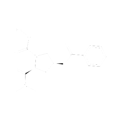 CN(C)C(=O)[C@@H]1C[C@H](SC(=O)c2ccccc2)CN1C(=O)OC(C)(C)C